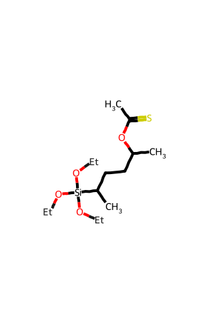 CCO[Si](OCC)(OCC)C(C)CCC(C)OC(C)=S